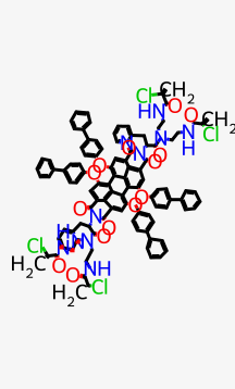 C=C(Cl)C(=O)NCCN(CCNC(=O)C(=C)Cl)C(=O)C(Cc1ccccn1)N1C(=O)c2cc(Oc3ccc(-c4ccccc4)cc3)c3c4c(Oc5ccc(-c6ccccc6)cc5)cc5c6c(cc(Oc7ccc(-c8ccccc8)cc7)c(c7c(Oc8ccc(-c9ccccc9)cc8)cc(c2c37)C1=O)c64)C(=O)N(C(Cc1ccccn1)C(=O)N(CCNC(=O)C(=C)Cl)CCNC(=O)C(=C)Cl)C5=O